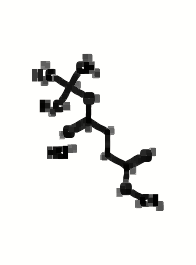 COC(=O)CCC(=O)OC(C)(C)C.Cl